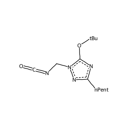 CCCCCc1nc(OC(C)(C)C)n(CN=C=O)n1